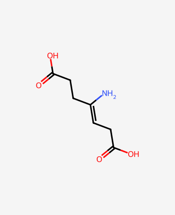 NC(=CCC(=O)O)CCC(=O)O